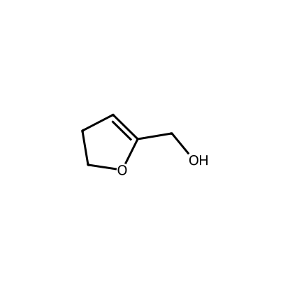 OCC1=CCCO1